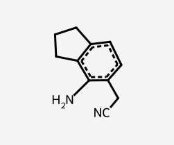 N#CCc1ccc2c(c1N)CCC2